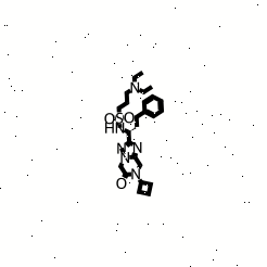 CCN(CC)CCCS(=O)(=O)N[C@H](CCc1ccccc1)c1nc2n(n1)CC(=O)N(C1CCC1)C2